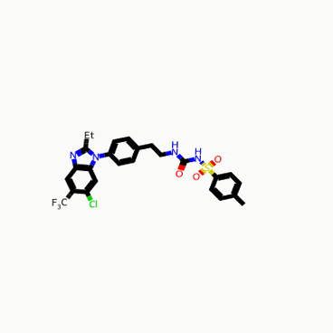 CCc1nc2cc(C(F)(F)F)c(Cl)cc2n1-c1ccc(CCNC(=O)NS(=O)(=O)c2ccc(C)cc2)cc1